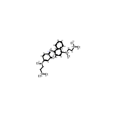 CCN(CC)CCN(CC)C1=CC(=O)/C(=N\c2c(C)cc(N(CC)CCN(CC)CC)c3ccccc23)C=C1